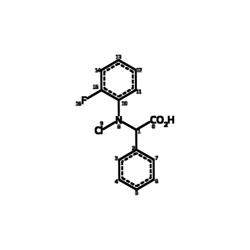 O=C(O)C(c1ccccc1)N(Cl)c1ccccc1F